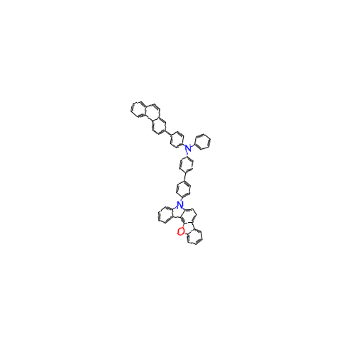 c1ccc(N(c2ccc(-c3ccc(-n4c5ccccc5c5c6oc7ccccc7c6ccc54)cc3)cc2)c2ccc(-c3ccc4c(ccc5ccccc54)c3)cc2)cc1